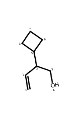 C=CC(CO)C1CCC1